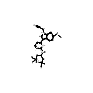 COc1ccc2c(-c3ccnc(NC4CC(C)(C)NC(C)(C)C4)n3)cn(CC#N)c2c1